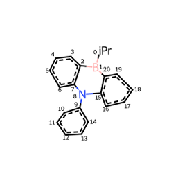 CC(C)B1c2ccccc2N(c2ccccc2)c2ccccc21